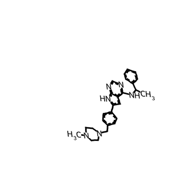 CC(Nc1ncnc2[nH]c(-c3ccc(CN4CCN(C)CC4)cc3)cc12)c1ccccc1